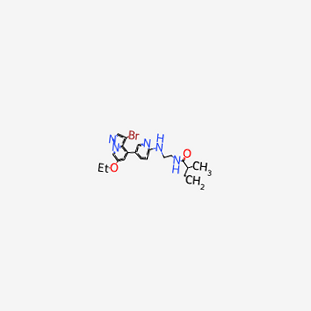 C=CC(C)C(=O)NCCNc1ccc(-c2cc(OCC)cn3ncc(Br)c23)cn1